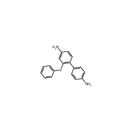 Nc1ccc(-c2ccc(N)cc2Sc2ccccc2)cc1